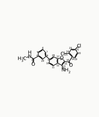 CNC(=O)c1cccc(-c2ccc3c(N)c(C(=O)c4ccc(Cl)cc4Cl)oc3c2)c1